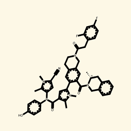 Cc1c(N(C(=O)c2cc(-c3cc4c(cc3C(=O)N3Cc5ccccc5C[C@H]3C)CN(C(=O)Cc3ccc(F)cc3F)CC4)n(C)c2C)c2ccc(O)cc2)cc(C#N)n1C